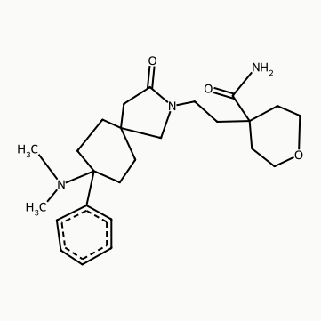 CN(C)C1(c2ccccc2)CCC2(CC1)CC(=O)N(CCC1(C(N)=O)CCOCC1)C2